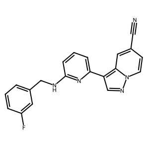 N#Cc1ccn2ncc(-c3cccc(NCc4cccc(F)c4)n3)c2c1